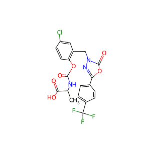 CC(NC(=O)Oc1ccc(Cl)cc1Cn1nc(-c2ccc(C(F)(F)F)cc2)oc1=O)C(=O)O